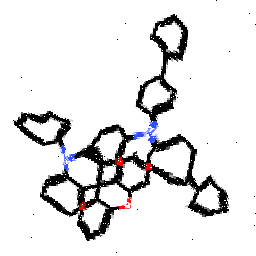 c1ccc(-c2ccc(N(c3ccc(-c4ccccc4)cc3)c3ccc4c(c3)C3(c5ccccc5Oc5ccccc53)c3ccccc3N4c3ccccc3)cc2)cc1